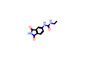 CCNC(=O)Nc1ccc2c(c1)C(=O)NC2=O